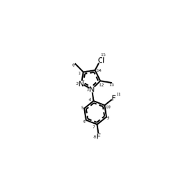 Cc1nn(-c2ccc(F)cc2F)c(C)c1Cl